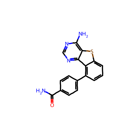 NC(=O)c1ccc(-c2cccc3sc4c(N)ncnc4c23)cc1